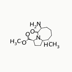 COC(=O)[C@@H]1CC[C@@H]2[C@@H](C)CCC[C@H](N)C(=O)N21